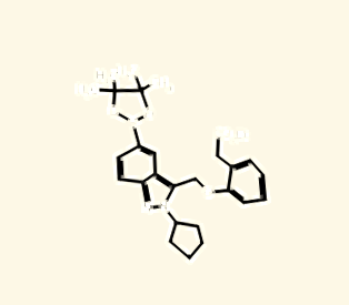 CCOC(=O)Cc1ccccc1OCc1c2cc(B3OC(C)(C)C(C)(C)O3)ccc2nn1C1CCCC1